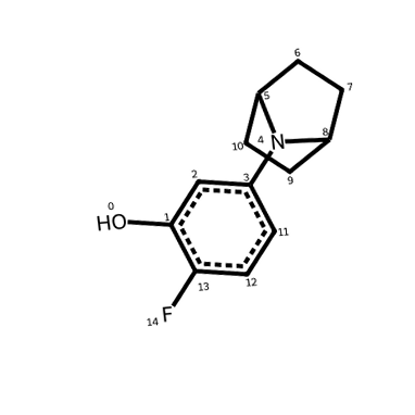 Oc1cc(N2C3CCC2CC3)ccc1F